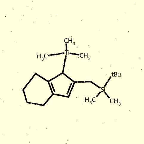 CC(C)(C)[Si](C)(C)CC1=CC2=C(CCCC2)[CH]1[Ti]([CH3])([CH3])[CH3]